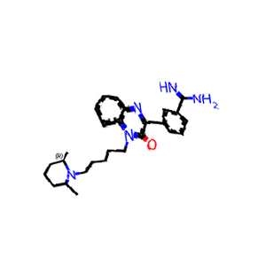 CC1CCC[C@@H](C)N1CCCCCn1c(=O)c(-c2cccc(C(=N)N)c2)nc2ccccc21